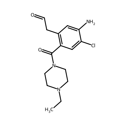 CCN1CCN(C(=O)c2cc(Cl)c(N)cc2CC=O)CC1